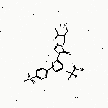 CS(=O)(=O)c1ccc(-c2cccc(-n3cnn(CC(CN)=C(F)F)c3=O)n2)cc1.O=C(O)C(F)(F)F